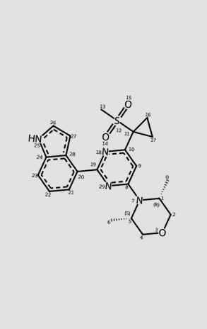 C[C@@H]1COC[C@H](C)N1c1cc(C2(S(C)(=O)=O)CC2)nc(-c2cccc3[nH]ccc23)n1